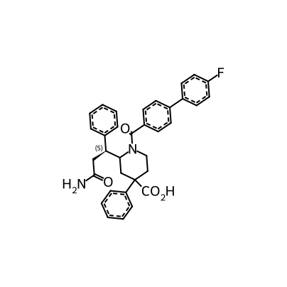 NC(=O)C[C@@H](c1ccccc1)C1CC(C(=O)O)(c2ccccc2)CCN1C(=O)c1ccc(-c2ccc(F)cc2)cc1